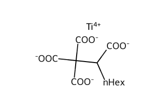 CCCCCCC(C(=O)[O-])C(C(=O)[O-])(C(=O)[O-])C(=O)[O-].[Ti+4]